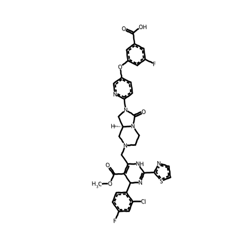 COC(=O)C1=C(CN2CCN3C(=O)N(c4ccc(Oc5cc(F)cc(C(=O)O)c5)cn4)C[C@@H]3C2)NC(c2nccs2)=NC1c1ccc(F)cc1Cl